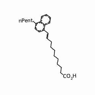 CCCCCc1ccc(C=CCCCCCCCCC(=O)O)c2ccccc12